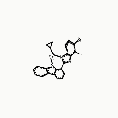 CCn1c2ccccc2c2cccc(-c3nc4c(Cl)c(Br)ccc4n3CC3CC3)c21